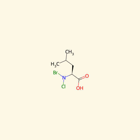 CC(C)C[C@@H](C(=O)O)N(Cl)Br